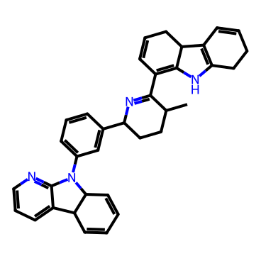 CC1CCC(c2cccc(N3c4ncccc4C4C=CC=CC43)c2)N=C1C1=C2NC3=C(C=CCC3)C2CC=C1